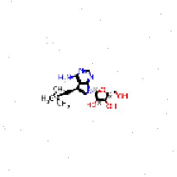 C[Si](C)(C)C#Cc1cn([C@@H]2O[C@H](CO)C(O)[C@@H]2O)c2ncnc(N)c12